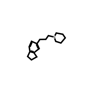 c1cc2c(cc1CCCN1CCCCC1)CCC2